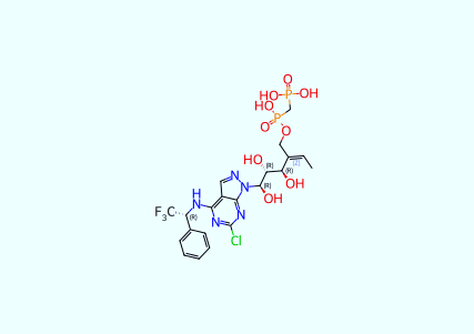 C/C=C(/COP(=O)(O)CP(=O)(O)O)[C@@H](O)[C@@H](O)[C@@H](O)n1ncc2c(N[C@H](c3ccccc3)C(F)(F)F)nc(Cl)nc21